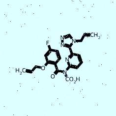 C=CCOc1cc(F)ccc1C(=O)N(C(=O)O)c1cccc(-c2nncn2CC=C)n1